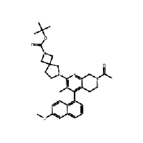 COc1ccc2c(-c3c(C)c(N4CCC5(CN(C(=O)OC(C)(C)C)C5)C4)nc4c3CCN(C(C)=O)C4)cccc2c1